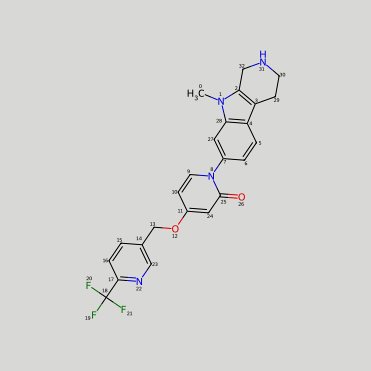 Cn1c2c(c3ccc(-n4ccc(OCc5ccc(C(F)(F)F)nc5)cc4=O)cc31)CCNC2